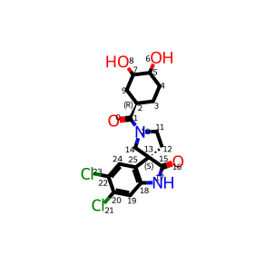 O=C([C@@H]1CCC(O)C(O)C1)N1CC[C@]2(C1)C(=O)Nc1cc(Cl)c(Cl)cc12